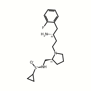 N[C@@H](CCN1CCC[C@H]1CN[S+]([O-])C1CC1)Cc1ccccc1F